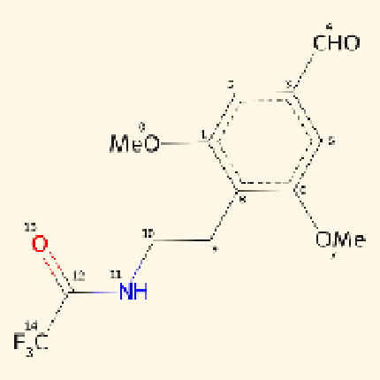 COc1cc(C=O)cc(OC)c1CCNC(=O)C(F)(F)F